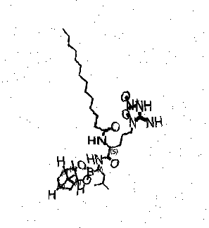 CCCCCCCCCCCCCC(=O)N[C@@H](CCCn1o[n+](=O)[nH]c1=N)C(=O)N[C@@H](CC(C)C)B1O[C@@H]2C[C@@H]3C[C@@H](C3(C)C)[C@]2(C)O1